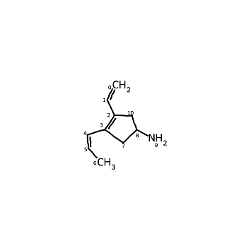 C=CC1=C(/C=C\C)CC(N)C1